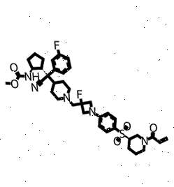 C=CC(=O)N1CCC[C@@H](S(=O)(=O)c2ccc(N3CC(F)(CN4CCC(C(C#N)(c5cccc(F)c5)[C@H]5CCC[C@@H]5NC(=O)OC)CC4)C3)cc2)C1